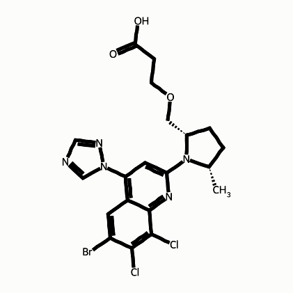 C[C@H]1CC[C@@H](COCCC(=O)O)N1c1cc(-n2cncn2)c2cc(Br)c(Cl)c(Cl)c2n1